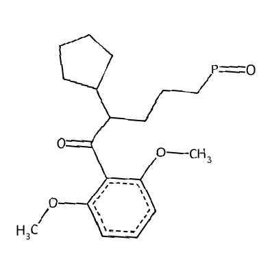 COc1cccc(OC)c1C(=O)C(CCCP=O)C1CCCC1